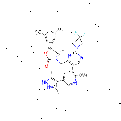 COc1ncc(-c2c(C)n[nH]c2C)cc1-c1cnc(N2CC(F)(F)C2)nc1CN1C(=O)O[C@H](c2cc(C(F)(F)F)cc(C(F)(F)F)c2)[C@@H]1C